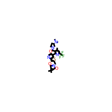 Cc1cc(C(F)(F)F)nc(-c2ccnc3cc(CN4C(=O)C5C(C4=O)C5(C)C)sc23)c1C(=O)N1CC[C@H](N(C)C)C1